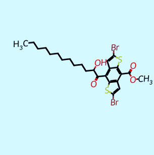 CCCCCCCCCCCC(O)C(=O)c1c2cc(Br)sc2c(C(=O)OC)c2cc(Br)sc12